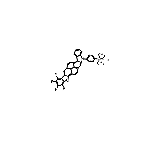 C[Si](C)(C)c1ccc(-n2c3ccccc3c3c4ccc5cc6c(oc7c(F)c(F)c(F)c(F)c76)c6ccc(cc32)c4c56)cc1